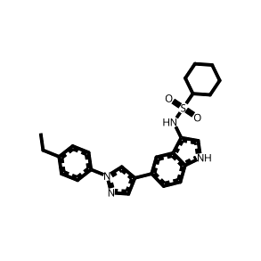 CCc1ccc(-n2cc(-c3ccc4[nH]cc(NS(=O)(=O)C5CCCCC5)c4c3)cn2)cc1